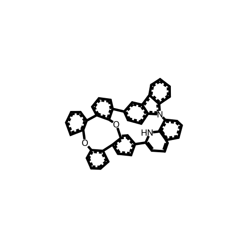 C1=CCNC(c2ccc3c(c2)Oc2c(-c4ccc5c(c4)c4ccccc4n5-c4ccccc4)cccc2-c2ccccc2Oc2ccccc2-3)=C1